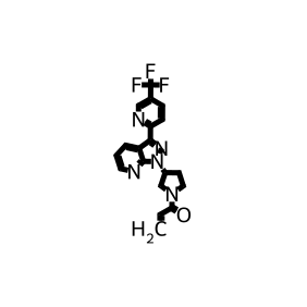 C=CC(=O)N1CCC(n2nc(-c3ccc(C(F)(F)F)cn3)c3cccnc32)C1